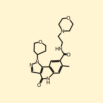 Cc1cc2[nH]c(=O)c3cnn(C4CCOCC4)c3c2cc1C(=O)NCCN1CCOCC1